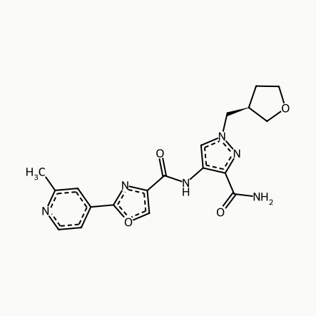 Cc1cc(-c2nc(C(=O)Nc3cn(C[C@H]4CCOC4)nc3C(N)=O)co2)ccn1